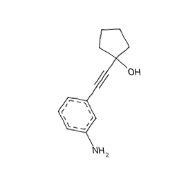 Nc1cccc(C#CC2(O)CCCC2)c1